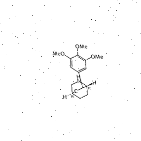 COc1cc(C2C[C@H]3CC[C@H]2NC3)cc(OC)c1OC